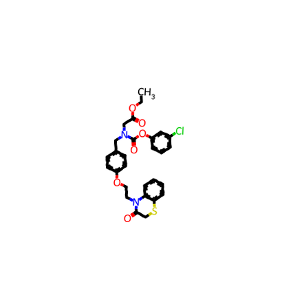 CCOC(=O)CN(Cc1ccc(OCCN2C(=O)CSc3ccccc32)cc1)C(=O)Oc1cccc(Cl)c1